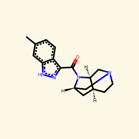 Cc1ccc2c(C(=O)N3[C@H]4C[C@@H]5CCN(C4)C[C@@H]53)n[nH]c2c1